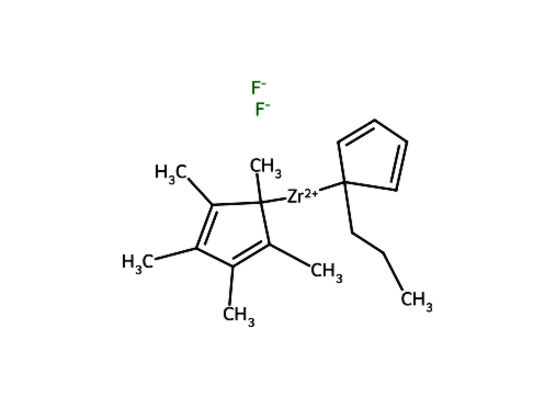 CCC[C]1([Zr+2][C]2(C)C(C)=C(C)C(C)=C2C)C=CC=C1.[F-].[F-]